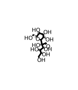 O=C[C@](O)(C1O[C@H](CO)[C@@H](O)[C@H](O)[C@H]1O)[C@@H](O)[C@H](O)[C@H](O)CO